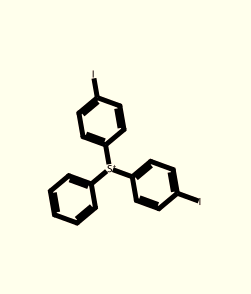 Ic1ccc([S+](c2ccccc2)c2ccc(I)cc2)cc1